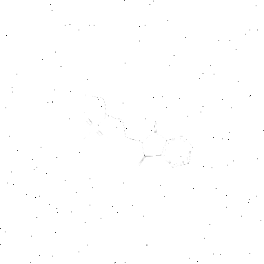 CS(=O)(=O)N(CCN1C(=O)c2ccccc2C1=O)CC(=O)O